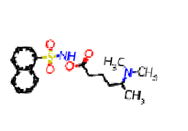 CC(CCCC(=O)ONS(=O)(=O)c1cccc2ccccc12)N(C)C